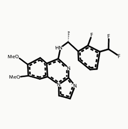 COc1cc2c(N[C@H](C)c3cccc(C(F)F)c3F)nc3nccn3c2cc1OC